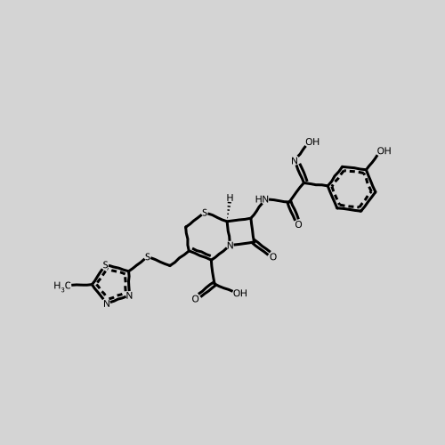 Cc1nnc(SCC2=C(C(=O)O)N3C(=O)C(NC(=O)C(=NO)c4cccc(O)c4)[C@@H]3SC2)s1